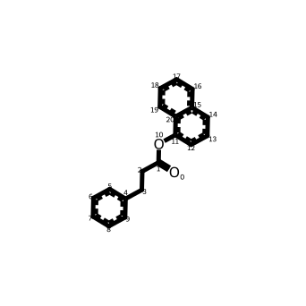 O=C(CCc1ccccc1)Oc1cccc2ccccc12